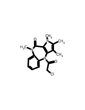 Cc1c2c(n(C)c1C)C(=O)N(C)c1ccccc1N2C(=O)CCl